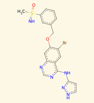 CS(=N)(=O)c1cccc(COc2cc3ncnc(Nc4cc[nH]n4)c3cc2Br)c1